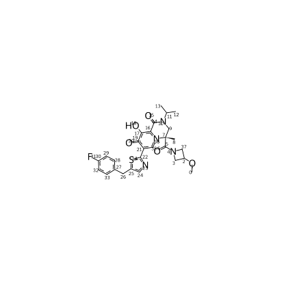 COC1CN(C(=O)[C@@]2(C)CN(C(C)C)C(=O)c3c(O)c(=O)c(-c4ncc(Cc5ccc(F)cc5)s4)cn32)C1